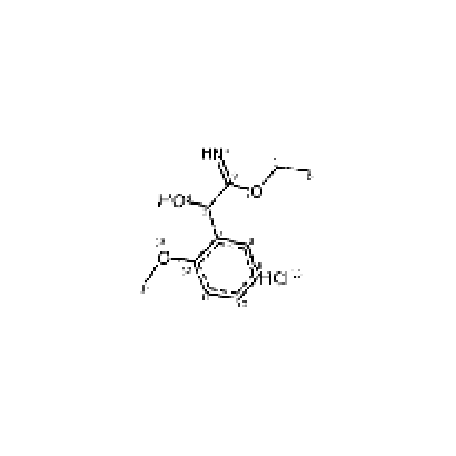 CCOC(=N)C(O)c1ccccc1OC.Cl